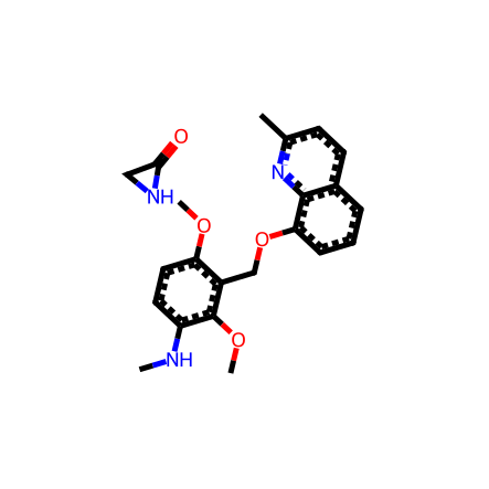 CNc1ccc(OC)c(COc2cccc3ccc(C)nc23)c1OC.O=C1CN1